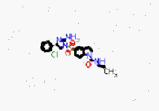 CCCNC(=O)N1CCc2cc(S(=O)(=O)N3C[C@H](c4ccccc4Cl)N=C3N)ccc21